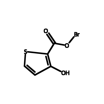 O=C(OBr)c1sccc1O